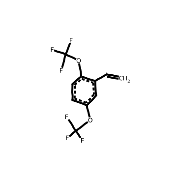 C=[C]c1cc(OC(F)(F)F)ccc1OC(F)(F)F